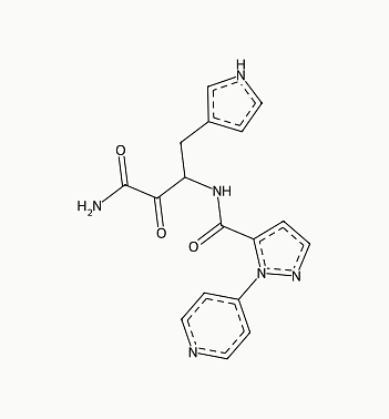 NC(=O)C(=O)C(Cc1cc[nH]c1)NC(=O)c1ccnn1-c1ccncc1